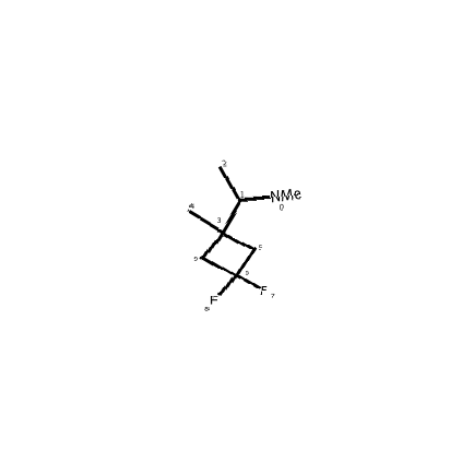 CNC(C)C1(C)CC(F)(F)C1